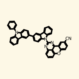 N#Cc1ccc2c(c1)-c1nc(-n3c4ccccc4c4cc(-c5ccc6c(c5)c5ccccc5n6-c5ccccc5)ccc43)nc3cccc(c13)O2